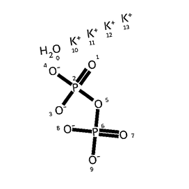 O.O=P([O-])([O-])OP(=O)([O-])[O-].[K+].[K+].[K+].[K+]